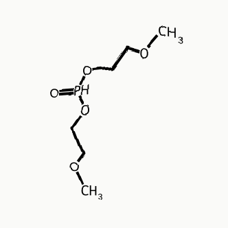 COCCO[PH](=O)OCCOC